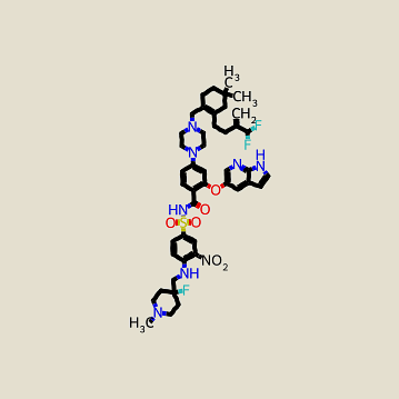 C=C(CCC1=C(CN2CCN(c3ccc(C(=O)NS(=O)(=O)c4ccc(NCC5(F)CCN(C)CC5)c([N+](=O)[O-])c4)c(Oc4cnc5[nH]ccc5c4)c3)CC2)CCC(C)(C)C1)C(F)F